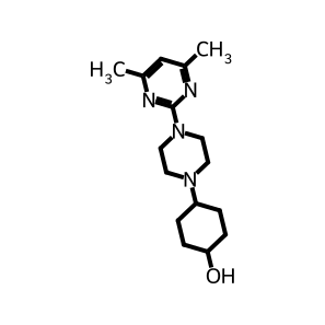 Cc1cc(C)nc(N2CCN(C3CCC(O)CC3)CC2)n1